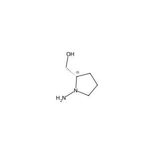 NN1CCC[C@H]1CO